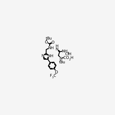 CC(C)(C)N(CC(=N)N)C(=O)O.CC(C)(C)OC(=O)NCc1ncc(-c2ccc(OC(F)(F)F)cc2)[nH]1.Cl